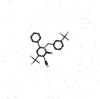 N#Cc1c(C(F)(F)F)cc(-c2ccccc2)n(Cc2cccc(C(F)(F)F)c2)c1=O